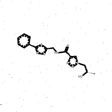 C[C@H](O)Cn1cc(C(=O)NCc2nnc(-c3ccccc3)s2)nn1